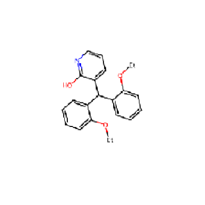 CCOc1ccccc1C(c1ccccc1OCC)c1cccnc1O